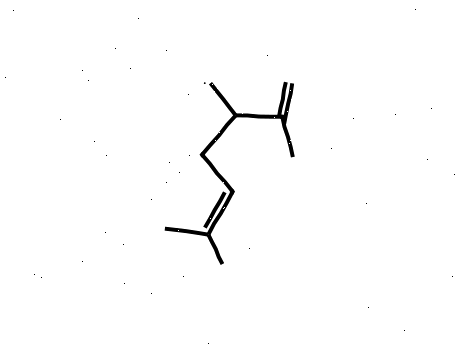 [CH2]C(CC=C(C)C)C(=C)C